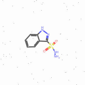 NNS(=O)(=O)c1n[nH]c2ccccc12